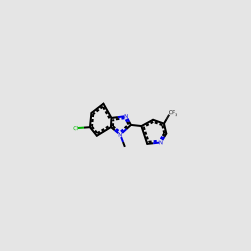 Cn1c(-c2cncc(C(F)(F)F)c2)nc2ccc(Cl)cc21